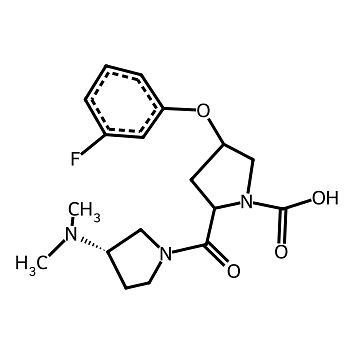 CN(C)[C@H]1CCN(C(=O)C2CC(Oc3cccc(F)c3)CN2C(=O)O)C1